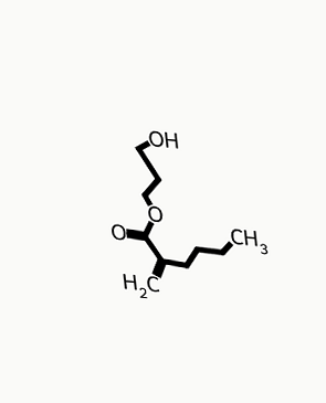 C=C(CCCC)C(=O)OCCCO